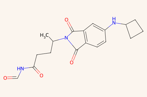 CC(CCC(=O)NC=O)N1C(=O)c2ccc(NC3CCC3)cc2C1=O